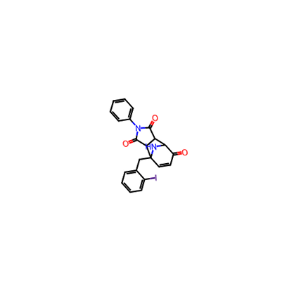 O=C1C=CC2(Cc3ccccc3I)NC1C1C(=O)N(c3ccccc3)C(=O)C12